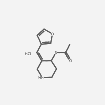 CC(=O)SC1CCNCC1=Cc1ccoc1.Cl